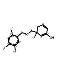 Fc1cc(F)c(COC[C@]2(F)[CH]C=CC(S)=C2)cc1F